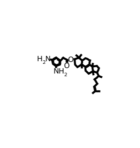 CC(C)=CCCC(C)C1CCC2(C)C3=C(CCC12C)C1(C)CCC(OC(=O)Cc2cc(N)cc(N)c2)C(C)(C)C1CC3